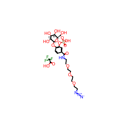 O=C(O)C(F)(F)F.[N-]=[N+]=NCCOCCOCCOCCNC(=O)c1ccc(O[C@@H]2O[C@H](CO)[C@H](O)[C@H](O)[C@H]2O)c(OS(=O)(=O)O)c1